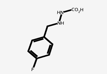 O=C(O)NNCc1ccc(F)cc1